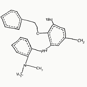 Cc1cc(Pc2ccccc2N(C)C)c(OCc2ccccc2)c(C(C)(C)C)c1